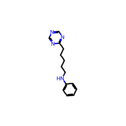 c1ccc(NCCCCCc2ncncn2)cc1